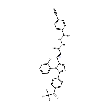 N#Cc1ccc(C(=O)NNC(=O)/C=C/c2nnc(-c3ccc(C(=O)C(F)(F)F)cn3)n2-c2ccccc2Cl)cc1